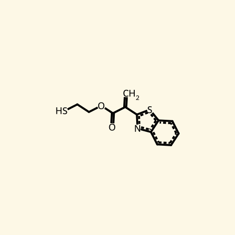 C=C(C(=O)OCCS)c1nc2ccccc2s1